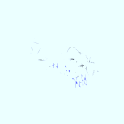 Cc1cccc(C)c1-n1nnnc1[C@H](c1cccc2ccccc12)N1CCN(C/C=C/c2ccccc2)CC1